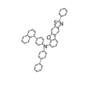 c1ccc(-c2ccc(N(c3ccc(-c4cccc5ccccc45)cc3)c3cccc4c3oc3cc5sc(-c6ccccc6)nc5cc34)cc2)cc1